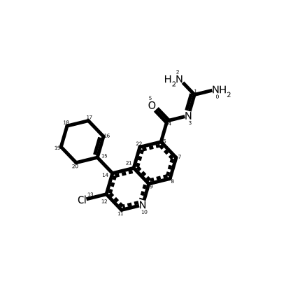 NC(N)=NC(=O)c1ccc2ncc(Cl)c(C3=CCCCC3)c2c1